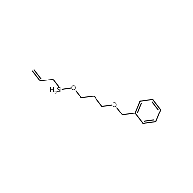 C=CC[SiH2]OCCCOCc1ccccc1